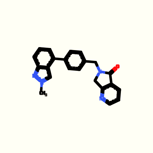 Cn1cc2c(-c3ccc(CN4Cc5ncccc5C4=O)cc3)cccc2n1